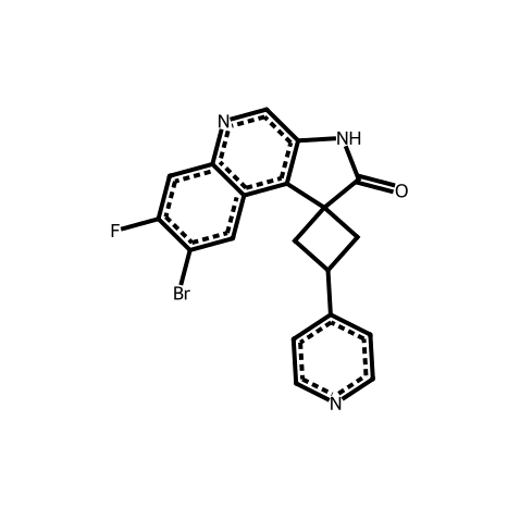 O=C1Nc2cnc3cc(F)c(Br)cc3c2C12CC(c1ccncc1)C2